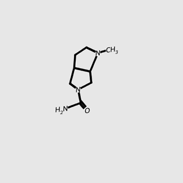 CN1CCC2CN(C(N)=O)CC21